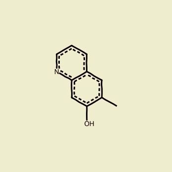 Cc1cc2cccnc2cc1O